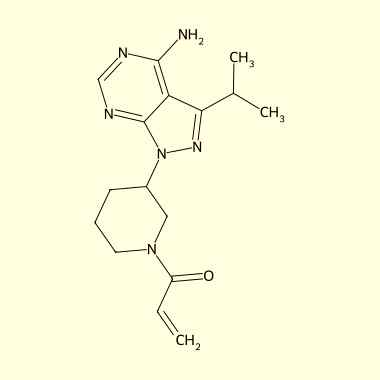 C=CC(=O)N1CCCC(n2nc(C(C)C)c3c(N)ncnc32)C1